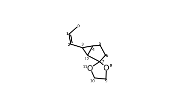 C/C=C\C1C2CCC3(OCCO3)C12